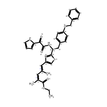 CCOC(=O)/C(C)=C\C(C)=C\c1csc([C@H](Cc2ccc(OCc3ccccc3)cc2)NC(=O)C(=O)c2cccs2)n1